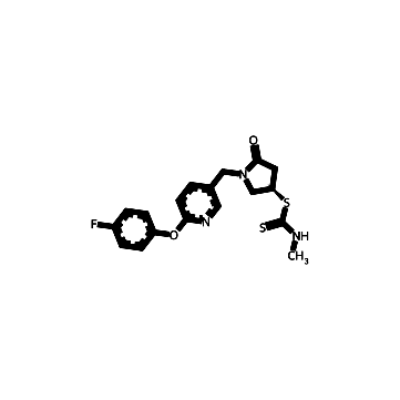 CNC(=S)S[C@@H]1CC(=O)N(Cc2ccc(Oc3ccc(F)cc3)nc2)C1